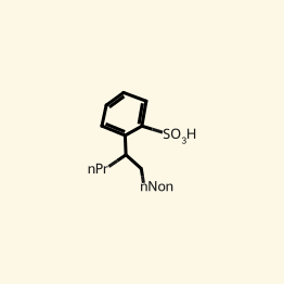 CCCCCCCCCCC(CCC)c1ccccc1S(=O)(=O)O